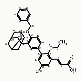 CCOc1c(C=CC(=O)O)cc(Cl)cc1-c1ccc(OCc2ccccc2)c(C23CC4CC(CC(C4)C2)C3)c1